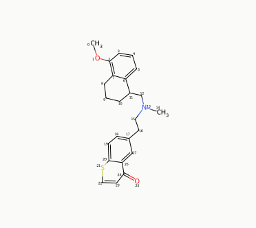 COc1cccc2c1CCCC2CN(C)CCc1ccc2sccc(=O)c2c1